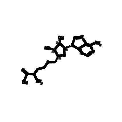 Nc1ncnc2c1ncn2[C@@H]1O[C@H](CSCCC(N)C(=O)O)[C@@H](O)[C@H]1O